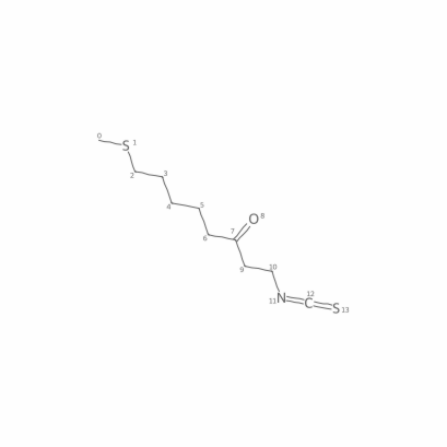 CSCCCCCC(=O)CCN=C=S